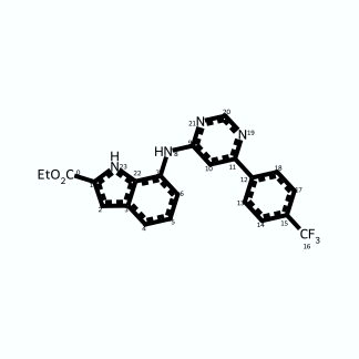 CCOC(=O)c1cc2cccc(Nc3cc(-c4ccc(C(F)(F)F)cc4)ncn3)c2[nH]1